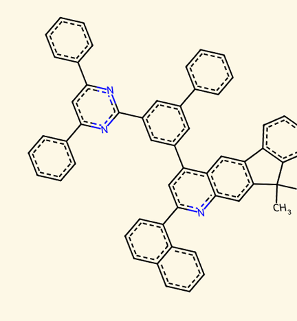 CC1(C)c2ccccc2-c2cc3c(-c4cc(-c5ccccc5)cc(-c5nc(-c6ccccc6)cc(-c6ccccc6)n5)c4)cc(-c4cccc5ccccc45)nc3cc21